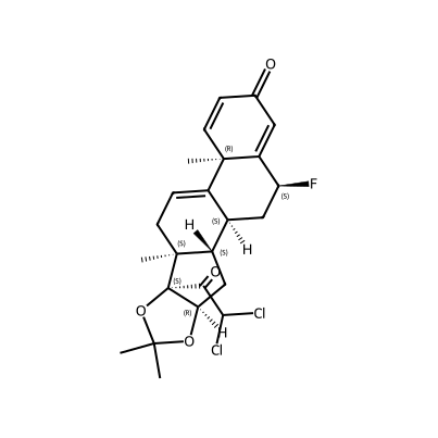 CC1(C)O[C@@H]2C[C@H]3[C@@H]4C[C@H](F)C5=CC(=O)C=C[C@]5(C)C4=CC[C@]3(C)[C@]2(C(=O)C(Cl)Cl)O1